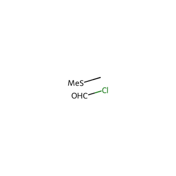 CSC.O=CCl